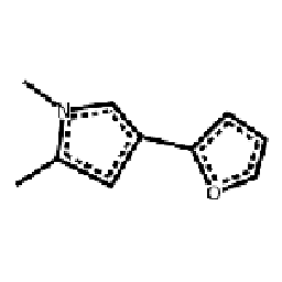 Cc1cc(-c2ccco2)cn1C